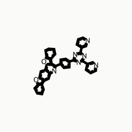 c1cncc(-c2nc(-c3ccc(-c4nc5cc6c(cc5c5oc7ccccc7c45)oc4ccccc46)cc3)nc(-c3cccnc3)n2)c1